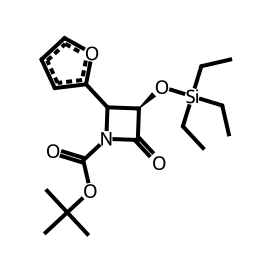 CC[Si](CC)(CC)O[C@H]1C(=O)N(C(=O)OC(C)(C)C)C1c1ccco1